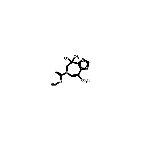 CCOC(=O)C1=CN(C(=O)OC(C)(C)C)CC(C)(C)c2ncsc21